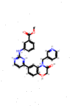 COC(=O)c1cccc(Nc2nccc(-c3ccc4c(c3)N(Cc3cccnc3)C(=O)CO4)n2)c1